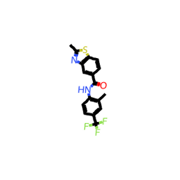 Cc1nc2cc(C(=O)Nc3ccc(C(F)(F)F)cc3C)ccc2s1